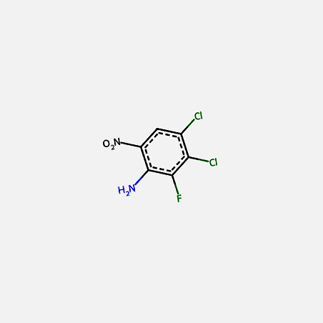 Nc1c([N+](=O)[O-])cc(Cl)c(Cl)c1F